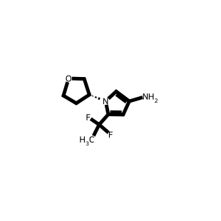 CC(F)(F)c1cc(N)cn1[C@@H]1CCOC1